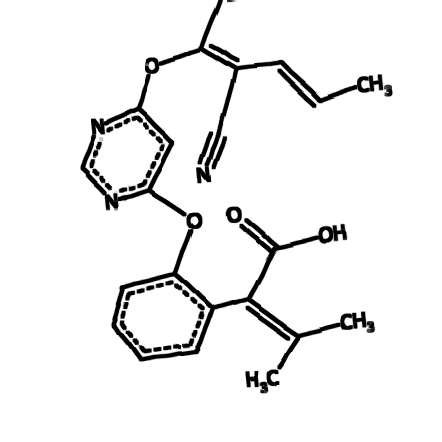 C=CC(Oc1cc(Oc2ccccc2C(C(=O)O)=C(C)C)ncn1)=C(C#N)C=CC